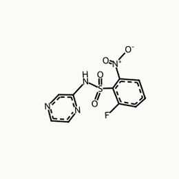 O=[N+]([O-])c1cccc(F)c1S(=O)(=O)Nc1cnccn1